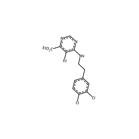 CCOC(=O)c1ncnc(NCCc2ccc(Cl)c(Cl)c2)c1CC